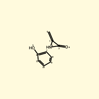 C=C1NC1=O.Oc1ccccc1